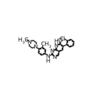 Cc1cc(Nc2ncc3cc(-c4ccccc4Cl)c(=O)[nH]c3n2)ccc1N1CCN(C)CC1